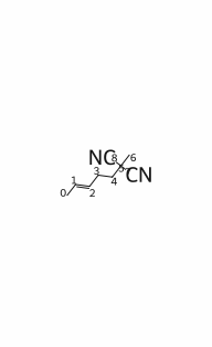 CC=CCCC(C)(C#N)C#N